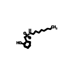 CCCCCCCCNS(=O)(=O)Cc1ccccc1O